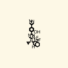 Cn1cc(-c2ccc(-c3ncc(N(C4CC4)[C@@H]4C[C@H]5CCC[C@](C(F)(F)F)(C5)C4)nn3)c(O)c2)cn1